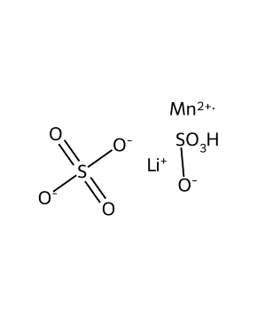 O=S(=O)([O-])O.O=S(=O)([O-])[O-].[Li+].[Mn+2]